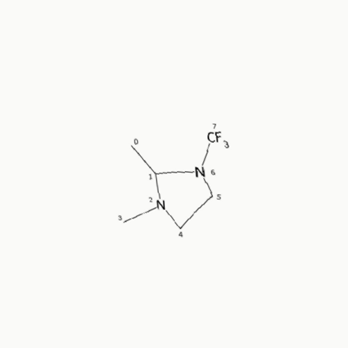 CC1N(C)CCN1C(F)(F)F